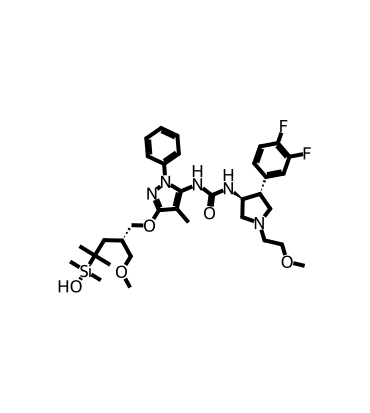 COCCN1C[C@@H](NC(=O)Nc2c(C)c(OC[C@H](COC)CC(C)(C)[Si](C)(C)O)nn2-c2ccccc2)[C@H](c2ccc(F)c(F)c2)C1